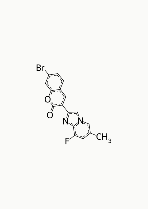 Cc1cc(F)c2nc(-c3cc4ccc(Br)cc4oc3=O)cn2c1